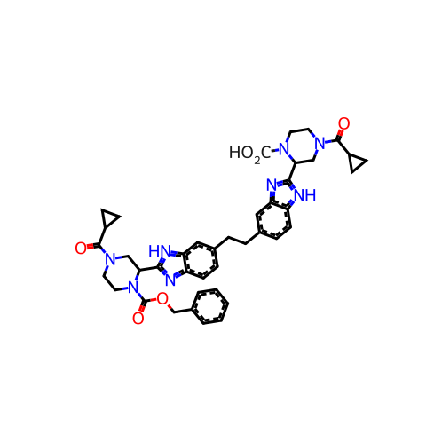 O=C(C1CC1)N1CCN(C(=O)O)C(c2nc3cc(CCc4ccc5nc(C6CN(C(=O)C7CC7)CCN6C(=O)OCc6ccccc6)[nH]c5c4)ccc3[nH]2)C1